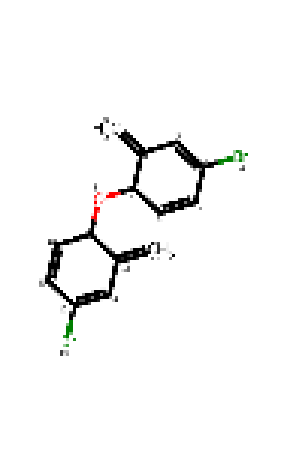 C=C1C=C(Br)C=CC1OC1C=CC(Br)=CC1=C